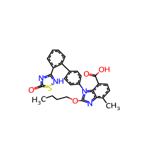 CCCCOc1nc2c(C)ccc(C(=O)O)c2n1-c1ccc(-c2ccccc2-c2nc(=O)s[nH]2)cc1